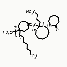 NC(N)(C(=O)O)C1(CCCCCCC(=O)O)CCCCCC1.O=C(O)CCCC1(C(=O)O)NCCCCCCN1.O=C1CCCCCN1